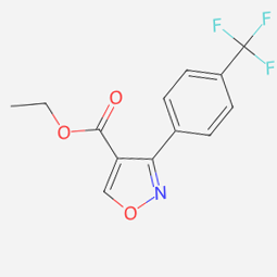 CCOC(=O)c1conc1-c1ccc(C(F)(F)F)cc1